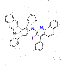 Ic1c(-n2c3ccccc3c3c4c5cc6ccccc6cc5n5c6ccccc6c(cc32)c45)nc2c(ccc3ccccc32)c1-c1ccccc1